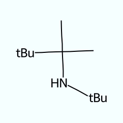 CC(C)(C)NC(C)(C)C(C)(C)C